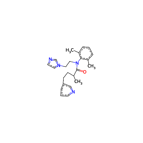 Cc1cccc(C)c1N(CCn1ccnc1)C(=O)C(C)CCc1cccnc1